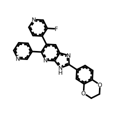 Fc1cnccc1-c1cc2nc(-c3ccc4c(c3)OCCO4)[nH]c2nc1-c1cccnc1